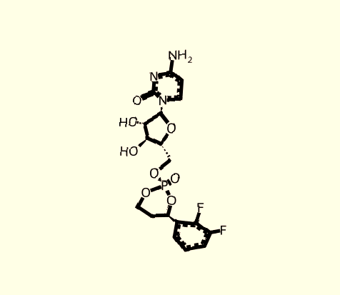 Nc1ccn([C@@H]2O[C@H](CO[P@]3(=O)OCC[C@H](c4cccc(F)c4F)O3)[C@@H](O)[C@@H]2O)c(=O)n1